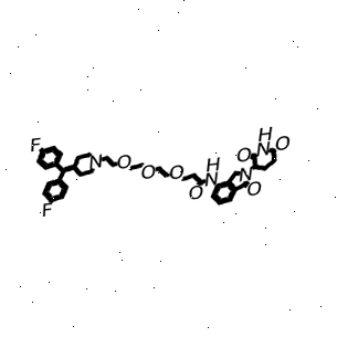 O=C1CCC(N2Cc3c(NC(=O)CCOCCOCCOCCN4CCC(=C(c5ccc(F)cc5)c5ccc(F)cc5)CC4)cccc3C2=O)C(=O)N1